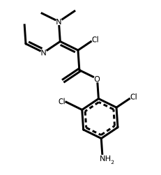 C=C(Oc1c(Cl)cc(N)cc1Cl)/C(Cl)=C(\N=C/C)N(C)C